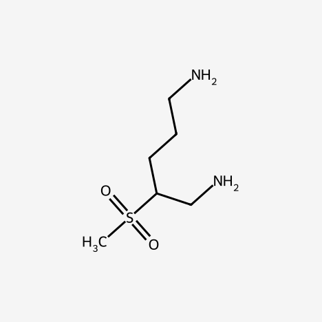 CS(=O)(=O)C(CN)CCCN